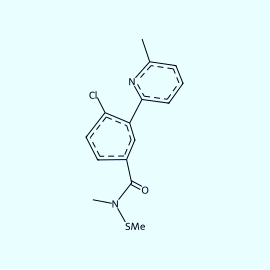 CSN(C)C(=O)c1ccc(Cl)c(-c2cccc(C)n2)c1